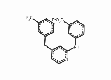 CCOC(=O)c1cccc(Nc2cc(Cc3cccc(C(F)(F)F)c3)ccn2)c1